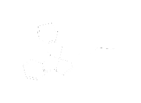 CCCCCCCCCCCCCN1C=CN(CCCCCCC)C1(Cc1ccccc1)C(CC)c1ccccc1